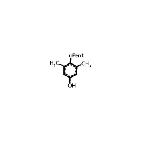 CCCCCc1c(C)cc(O)cc1C